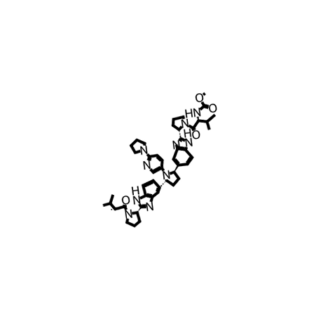 COC(=O)N[C@H](C(=O)N1CCC[C@H]1c1nc2cc([C@H]3CC[C@H](c4ccc5[nH]c([C@@H]6CCCN6C(=O)[CH]C(C)C)nc5c4)N3c3ccc(N4CCCC4)nc3)ccc2[nH]1)C(C)C